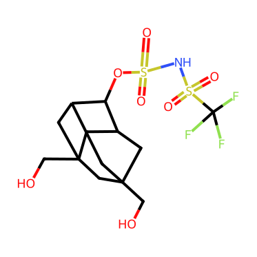 O=S(=O)(NS(=O)(=O)C(F)(F)F)OC1C2CC3(CO)CC1CC(CO)(C2)C3